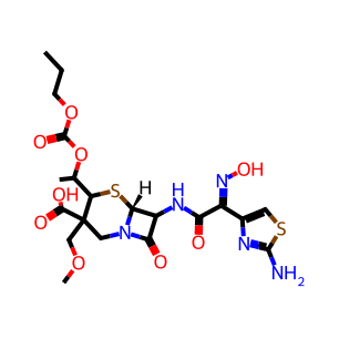 CCCOC(=O)OC(C)C1S[C@@H]2C(NC(=O)C(=NO)c3csc(N)n3)C(=O)N2CC1(COC)C(=O)O